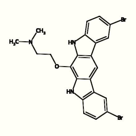 CN(C)CCOc1c2[nH]c3ccc(Br)cc3c2cc2c1[nH]c1ccc(Br)cc12